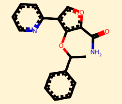 CC(Oc1c(-c2ccccn2)coc1C(N)=O)c1ccccc1